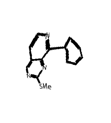 CSc1ncc2ccnc(-c3ccccc3)c2n1